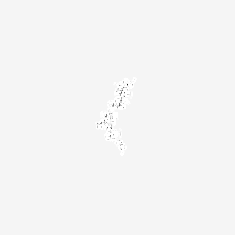 C=CCOC(=O)c1ccc(NC(=O)c2ccc(NC(=O)c3ccc(NC(=O)[C@H](CC#N)NC(=O)c4ccc(NC(=O)C(C)=Cc5ccc(OCC=C)cc5)cn4)cc3)c(OC)c2OCC=C)c(OC)c1OCC=C